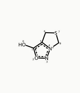 Oc1on[n+]2c1CSC2